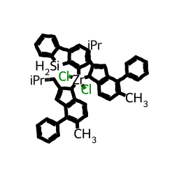 Cc1ccc2c(c1-c1ccccc1)C=C(CC(C)C)[CH]2[Zr]([Cl])([Cl])([c]1cccc2c1[SiH2]c1ccccc1-2)[CH]1C(CC(C)C)=Cc2c1ccc(C)c2-c1ccccc1